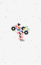 CCC(CN(c1ccccc1F)S(=O)(=O)C1CC1)N1C(=O)[C@H](CC(=O)OC(C)(C)C)O[C@H](c2cccc(Cl)c2)[C@H]1c1ccc(Cl)s1